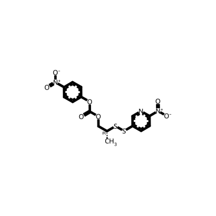 C[C@H](COC(=O)Oc1ccc([N+](=O)[O-])cc1)SSc1ccc([N+](=O)[O-])nc1